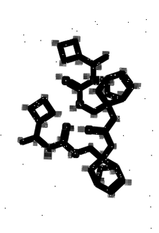 CC(NC(=O)OCC1(CC(=O)CC2(COC(=O)NC(C)C3CCC3)CC3C=CC2C3)CC2C=CC1C2)C1CCC1